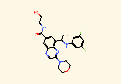 CC(Nc1cc(F)cc(F)c1)c1cc(C(=O)NCCO)cc2ncc(N3CCOCC3)nc12